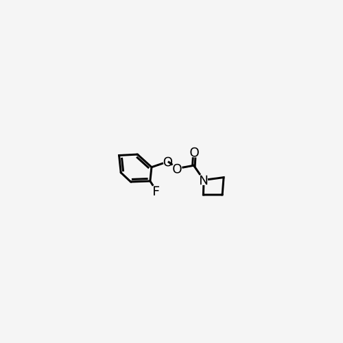 O=C(OOc1ccccc1F)N1CCC1